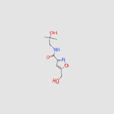 CC(C)(O)CNC(=O)c1cc(CO)on1